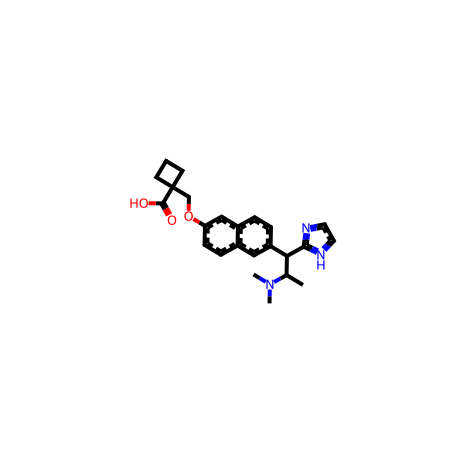 CC(C(c1ccc2cc(OCC3(C(=O)O)CCC3)ccc2c1)c1ncc[nH]1)N(C)C